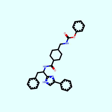 O=C(NCC1CCC(C(=O)NC(Cc2ccccc2)c2nc(-c3ccccc3)c[nH]2)CC1)Oc1ccccc1